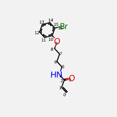 C=CC(=O)NCCCCOc1ccccc1Br